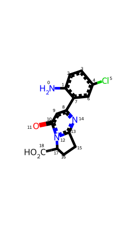 Nc1ccc(Cl)cc1-c1cc(=O)n2c(n1)CCC2C(=O)O